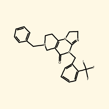 O=C1C2=C(CCN(Cc3ccccc3)C2)N2CCN=C2N1Cc1ccccc1C(F)(F)I